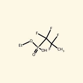 CCOP(=O)(O)C(F)(F)C(C)(F)F